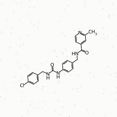 Cc1cc(C(=O)NCc2ccc(NC(=O)NCc3ccc(Cl)cc3)cc2)ccn1